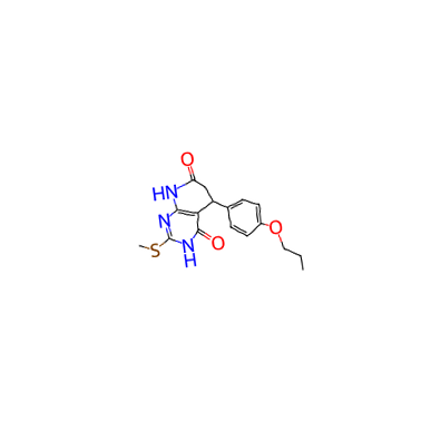 CCCOc1ccc(C2CC(=O)Nc3nc(SC)[nH]c(=O)c32)cc1